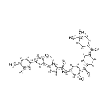 C[N+]1(C)CCC(C(=O)N2CCN(C(=O)c3ccc(NC(=O)c4ncc(-c5cn(-c6ccc(N)c(F)n6)nc5C(F)(F)F)[nH]4)cc3Cl)CC2)CC1